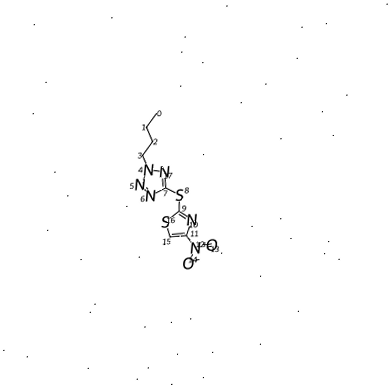 CCCCn1nnc(Sc2nc([N+](=O)[O-])cs2)n1